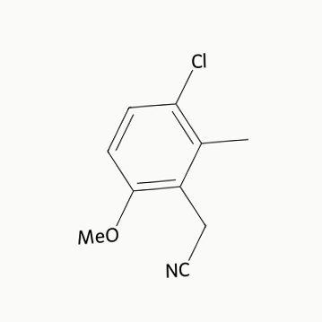 COc1ccc(Cl)c(C)c1CC#N